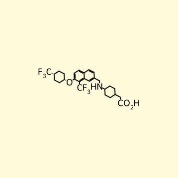 O=C(O)CC1CCC(NCc2ccc3ccc(O[C@H]4CC[C@@H](C(F)(F)F)CC4)c(C(F)(F)F)c3c2)CC1